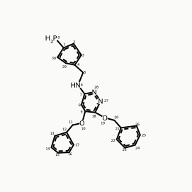 Pc1ccc(CNc2cc(OCc3ccccc3)c(OCc3ccccc3)nn2)cc1